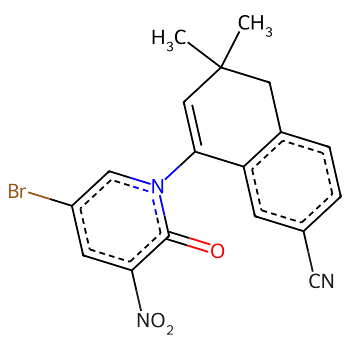 CC1(C)C=C(n2cc(Br)cc([N+](=O)[O-])c2=O)c2cc(C#N)ccc2C1